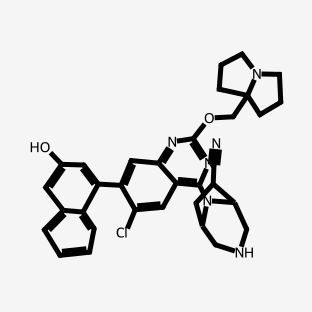 N#CC1CC2CNCC1N2c1nc(OCC23CCCN2CCC3)nc2cc(-c3cc(O)cc4ccccc34)c(Cl)cc12